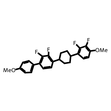 COc1ccc(-c2ccc(C3CCC(c4ccc(OC)c(F)c4F)CC3)c(F)c2F)cc1